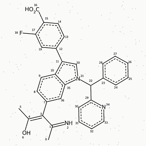 CC(=N)/C(=C(/C)O)c1ccc2c(-c3ccc(C(=O)O)c(F)c3)cn(C(c3ccccc3)c3ccccn3)c2c1